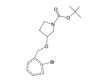 CC(C)(C)OC(=O)N1CCC(OCc2ccccc2Br)C1